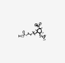 O=C(O)CCCN=Cc1cc([N+](=O)[O-])ccc1SC1CC1